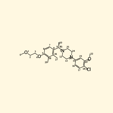 COCCOc1ccc([C@@H](C)N2CCN(c3ccc(Cl)c(OC)c3)CC2)c(C)c1C